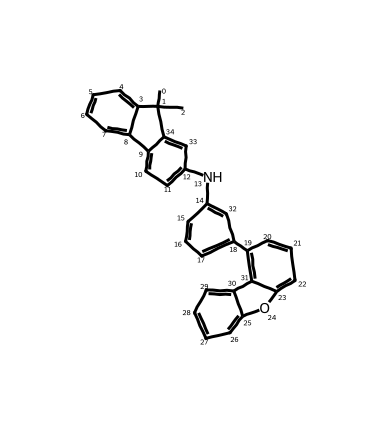 CC1(C)c2ccccc2-c2ccc(Nc3cccc(-c4cccc5oc6ccccc6c45)c3)cc21